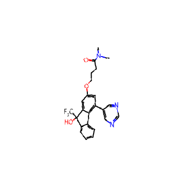 CN(C)C(=O)CCCOc1cc(-c2cncnc2)c2c(c1)C(O)(C(F)(F)F)c1ccccc1-2